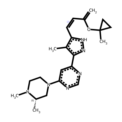 C=C(/C=C\c1[nH]nc(-c2cc(N3CCN(C)[C@@H](C)C3)ncn2)c1C)OC1(C)CC1